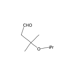 CC(C)OC(C)(C)CC=O